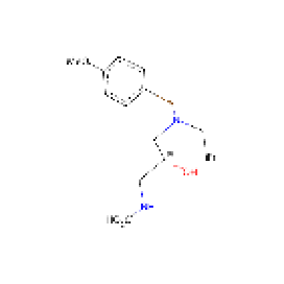 COc1ccc(SN(CC(C)C)C[C@H](O)CNC(=O)O)cc1